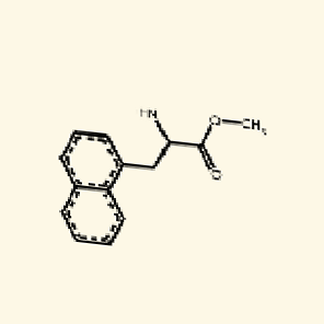 COC(=O)C([NH])Cc1cccc2ccccc12